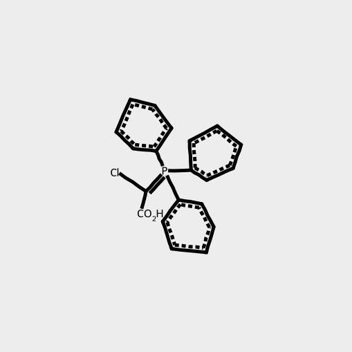 O=C(O)C(Cl)=P(c1ccccc1)(c1ccccc1)c1ccccc1